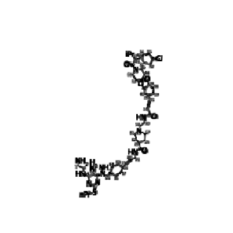 CCCSc1nc(NCCN)c(N)c(N(N)Cc2ccc(C#CCNC(=O)C3CCN(CCNC(=O)C#Cc4ccc5c(c4)OC4(CCN(C(=O)C(c6ccc(Cl)cc6)C(C)C)CC4)O5)CC3)cc2)n1